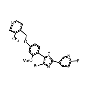 COc1cc(OCc2ccncc2C(F)(F)F)ccc1-c1[nH]c(-c2ccc(F)nc2)nc1Br